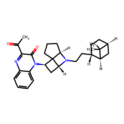 CC(=O)c1nc2ccccc2n([C@@H]2C[C@H]3N(CC[C@@H]4CC[C@H]5C[C@@H]4C5(C)C)[C@@H]4CCCC432)c1=O